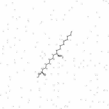 CCCCCCCCCC(N)CCCCCCCC(=O)OC